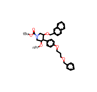 CCCOC1CN(C(=O)OC(C)(C)C)CC(OCc2ccc3ccccc3c2)C1c1ccc(OCCCOCc2ccccc2)cc1